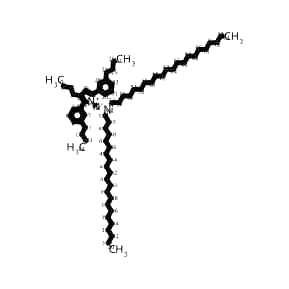 CCCCC1=C(c2cccc(CCCC)c2)[N+](=[N-])C(c2cccc(CCCC)c2)=C1.CCCCCCCCCCCCCCCCCCCCC[CH2][Ni][CH2]CCCCCCCCCCCCCCCCCCCCC